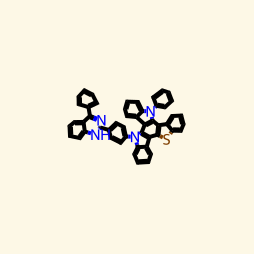 c1ccc(C2=NC(c3ccc(-n4c5ccccc5c5c6sc7ccccc7c6c6c(c7ccccc7n6-c6ccccc6)c54)cc3)Nc3ccccc32)cc1